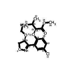 CCO[C@@H]1CON=C1c1cc(Cl)ccc1O[C@H](C(=O)OC)C(C)C